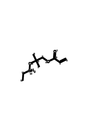 C=CC(=O)OCC(C)(C)O[SiH2]CC